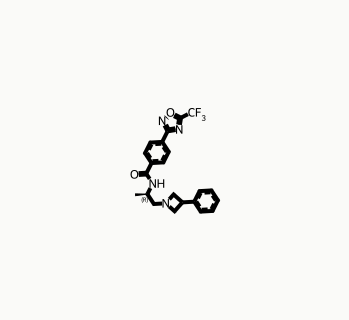 C[C@H](CN1CC(c2ccccc2)C1)NC(=O)c1ccc(-c2noc(C(F)(F)F)n2)cc1